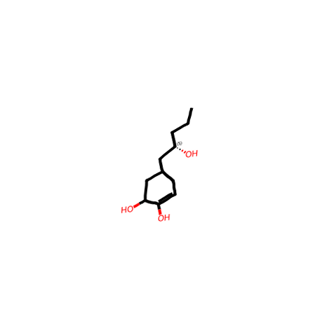 CCC[C@H](O)CC1CC=C(O)C(O)C1